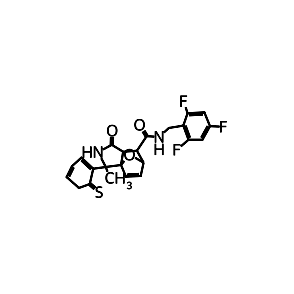 CC1(C2=CC=CCC2=S)NC(=O)C2C(C(=O)NCc3c(F)cc(F)cc3F)C3C=CC21O3